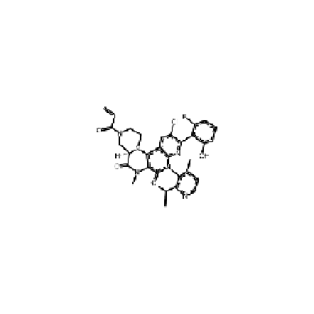 C=CC(=O)N1CCN2c3c(c(=O)n(-c4c(C)ccnc4C(C)C)c4nc(-c5c(O)cccc5F)c(Cl)cc34)N(C)C(=O)[C@H]2C1